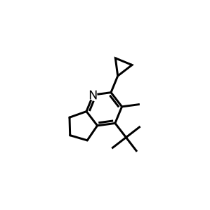 Cc1c(C2CC2)nc2c(c1C(C)(C)C)CCC2